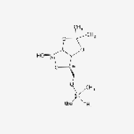 CC1(C)OC2C(O1)[C@@H](CO[Si](C)(C)C(C)(C)C)O[C@H]2O